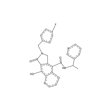 CC(NC(=O)c1c2c(c(O)c3ncccc13)C(=O)N(Cc1ccc(F)cc1)C2)c1cccnc1